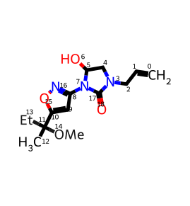 C=CCN1CC(O)N(c2cc(C(C)(CC)OC)on2)C1=O